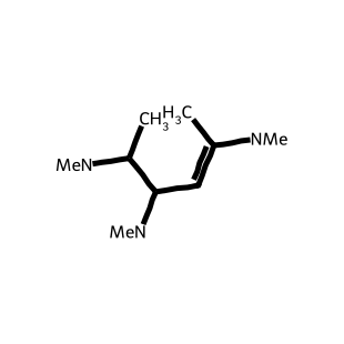 CNC(C)=CC(NC)C(C)NC